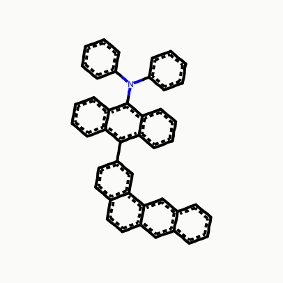 c1ccc(N(c2ccccc2)c2c3ccccc3c(-c3ccc4ccc5cc6ccccc6cc5c4c3)c3ccccc23)cc1